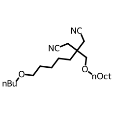 CCCCCCCCOCC(CC#N)(CC#N)CCCCCOCCCC